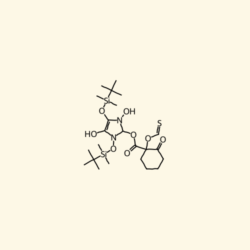 CC(C)(C)[Si](C)(C)OC1=C(O)N(O[Si](C)(C)C(C)(C)C)C(OC(=O)C2(OC=S)CCCCC2=O)N1O